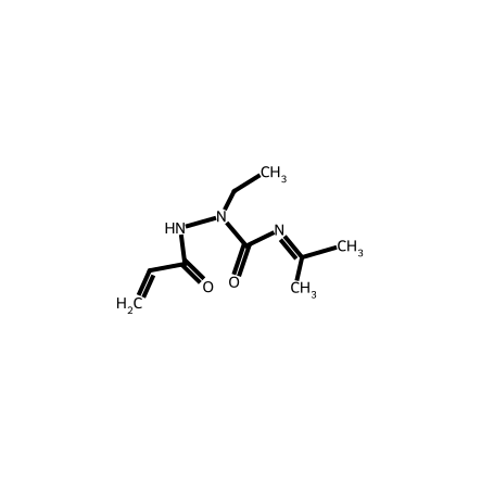 C=CC(=O)NN(CC)C(=O)N=C(C)C